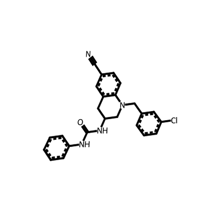 N#Cc1ccc2c(c1)CC(NC(=O)Nc1ccccc1)CN2Cc1cccc(Cl)c1